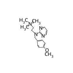 COc1ccc(CN(CC[N+](C)(C)C)c2ncccn2)cc1